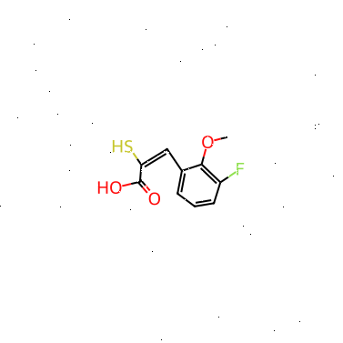 COc1c(F)cccc1/C=C(/S)C(=O)O